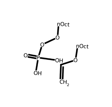 C=COCCCCCCCC.CCCCCCCCOOP(=O)(O)O